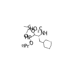 CCCO[PH](=O)C(O[Si](C)(C)C)[C@H](CC1CCCCC1)NC(=O)O